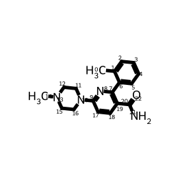 Cc1ccccc1-c1nc(N2CCN(C)CC2)ccc1C(N)=O